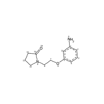 Nc1cccc(OCCN2CCCC2=O)c1